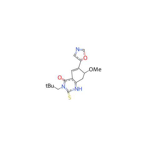 COC1Cc2[nH]c(=S)n(CC(C)(C)C)c(=O)c2C=C1c1cnco1